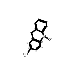 [O-][S+]1c2ccccc2Cc2cc(O)ccc21